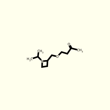 CC(=O)CCOCC1CCN1C(C)C